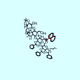 CCCCO[C@@H]1OC(COC(=O)c2ccccc2)[C@@H](O[C@@H]2OC(COC(=O)c3ccccc3)[C@H](O)C(O[C@@H]3OC(CO)[C@@H](O[C@@H]4OC(CO)[C@@H]5OC(C)(C)OC5[C@@H]4O)C(O)[C@@H]3NC(C)=O)[C@@H]2OC(=O)c2ccccc2)[C@H](OC(=O)c2ccccc2)C1OC(=O)c1ccccc1